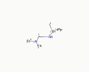 CCN(CC)CN[SiH](C)C(C)C